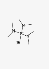 CN(C)[P+](Br)(N(C)C)N(C)C